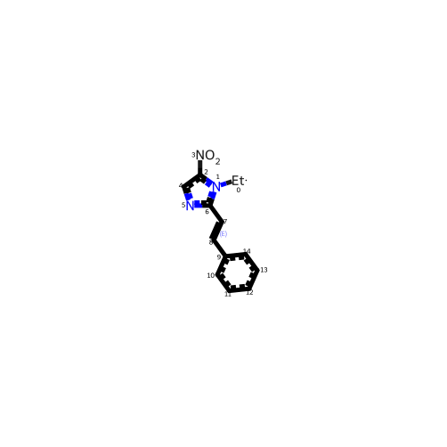 C[CH]n1c([N+](=O)[O-])cnc1/C=C/c1ccccc1